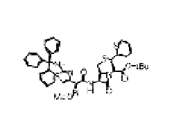 CON=C(C(=O)NC1C(=O)N2C(C(=O)OC(C)(C)C)=C(c3ccccn3)SCC12)c1csc(NC(c2ccccc2)(c2ccccc2)c2ccccc2)n1